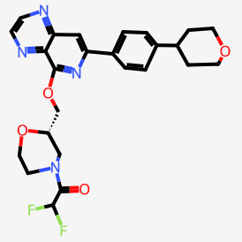 O=C(C(F)F)N1CCO[C@H](COc2nc(-c3ccc(C4CCOCC4)cc3)cc3nccnc23)C1